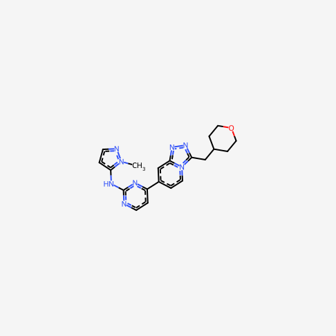 Cn1nccc1Nc1nccc(-c2ccn3c(CC4CCOCC4)nnc3c2)n1